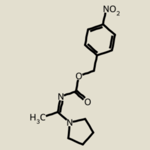 CC(=NC(=O)OCc1ccc([N+](=O)[O-])cc1)N1CCCC1